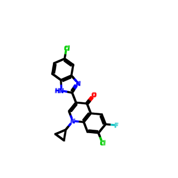 O=c1c(-c2nc3cc(Cl)ccc3[nH]2)cn(C2CC2)c2cc(Cl)c(F)cc12